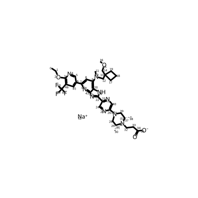 CCOc1ncc(-c2cc(N(C)CC3(COC)CCC3)c3[nH]c(-c4cnc(N5C[C@@H](C)N(CCC(=O)[O-])[C@@H](C)C5)cn4)nc3n2)cc1C(F)(F)F.[Na+]